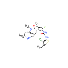 CNc1cc2c(cn1)cc(-c1cc(NC(=O)Nc3scc(C(C)(C)C)c3Cl)c(F)cc1C)c(=O)n2C